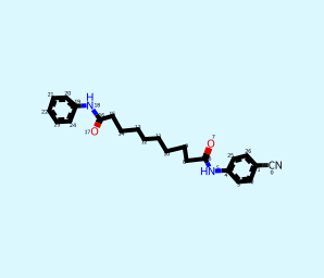 N#Cc1ccc(NC(=O)CCCCCCCCC(=O)Nc2cc[c]cc2)cc1